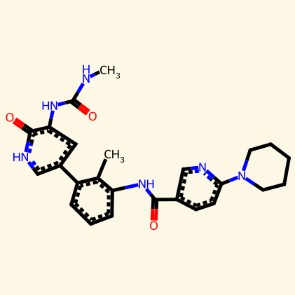 CNC(=O)Nc1cc(-c2cccc(NC(=O)c3ccc(N4CCCCC4)nc3)c2C)c[nH]c1=O